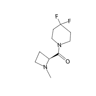 CN1CC[C@H]1C(=O)N1CCC(F)(F)CC1